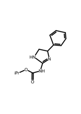 CC(C)OC(=O)NC1=NC(c2ccccc2)CN1